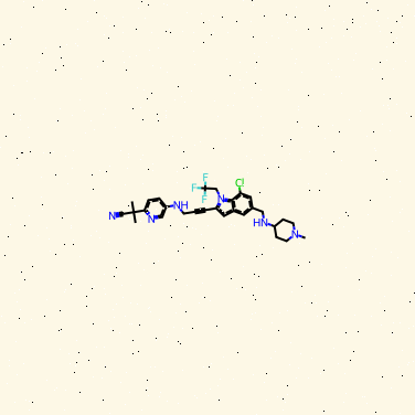 CN1CCC(NCc2cc(Cl)c3c(c2)cc(C#CCNc2ccc(C(C)(C)C#N)nc2)n3CC(F)(F)F)CC1